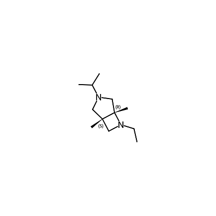 CCN1C[C@]2(C)CN(C(C)C)C[C@]12C